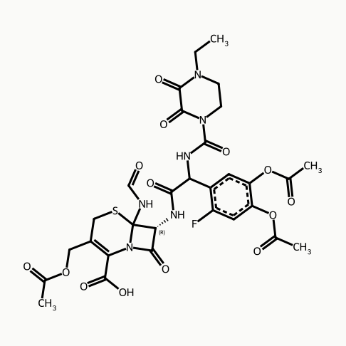 CCN1CCN(C(=O)NC(C(=O)N[C@@H]2C(=O)N3C(C(=O)O)=C(COC(C)=O)CSC23NC=O)c2cc(OC(C)=O)c(OC(C)=O)cc2F)C(=O)C1=O